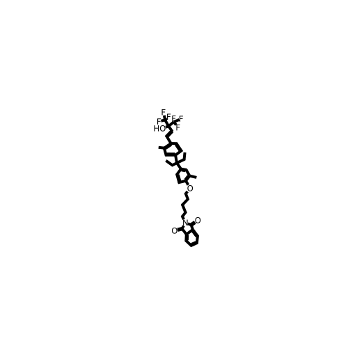 CCC(CC)(c1ccc(C=CC(O)(C(F)(F)F)C(F)(F)F)c(C)c1)c1ccc(OCCCCCN2C(=O)c3ccccc3C2=O)c(C)c1